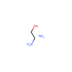 N.NCCO